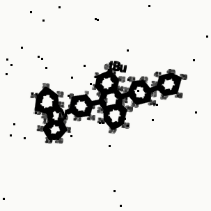 CC(C)(C)c1ccc2c(-c3ccc(-n4c5ccccc5c5ccccc54)cc3)c3ccccc3c(-c3ccc(-c4ccccc4)cc3)c2c1